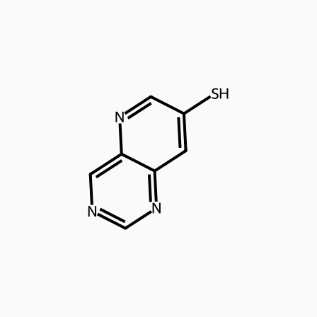 Sc1cnc2cncnc2c1